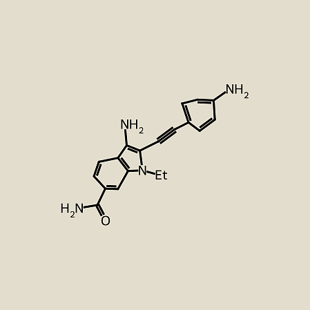 CCn1c(C#Cc2ccc(N)cc2)c(N)c2ccc(C(N)=O)cc21